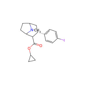 CN1C2CCC1C(C(=O)OC1CC1)[C@@H](c1ccc(I)cc1)C2